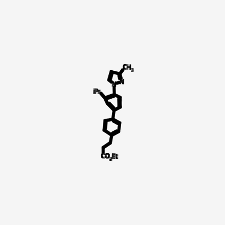 CCOC(=O)CCc1ccc(-c2ccc(-n3ccc(C)n3)c(C(C)C)c2)cc1